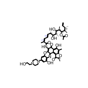 C=C[C@H](C)[C@@H](C)[C@@H](OC(C)=O)[C@H](C)[C@H](O)[C@H](C)[C@@H](O)[C@@H](C)/C=C/C=C(/C)C(=O)Nc1c2oc3cc(N4CCN(CCO)CC4)cc(O)c3nc-2c2c3c(c(C)c(O)c2c1=O)O[C@@H](C)C3=O